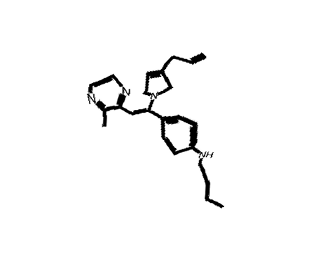 C=CCC1=CCN(/C(=C\c2nccnc2C)c2ccc(NCCCC)cc2)C1